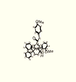 COc1ccc(CC(=O)N2C[C@@H]3[C@H](C2)C(c2ccccc2)(c2ccccc2)CC[C@@]3(O)c2ccccc2OC)cc1